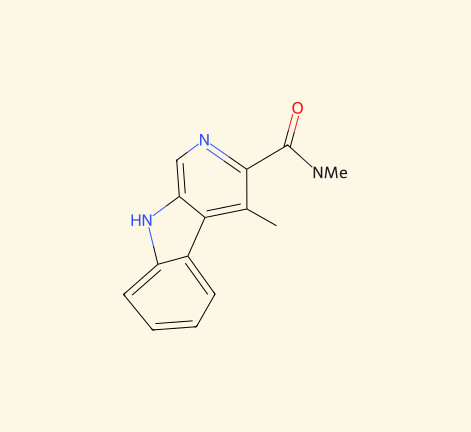 CNC(=O)c1ncc2[nH]c3ccccc3c2c1C